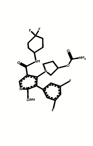 COc1ncc(C(=O)NC2CCC(F)(F)CC2)c(N2CCC(OC(N)=O)C2)c1-c1cc(F)cc(F)c1